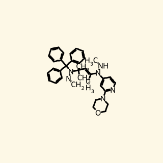 C=NN(C(C)(C)/C=C(\C)N(NC)c1ccnc(N2CCOCC2)c1)C(c1ccccc1)(c1ccccc1)c1ccccc1